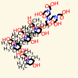 CC(C)(O)CON1C(C)(C)CC(O)CC1(C)C.CC(C)(O)CON1C(C)(C)CC(O)CC1(C)C.CC(C)(O)CON1C(C)(C)CC(O)CC1(C)C.CC(C)(O)CON1C(C)(C)CC(O)CC1(C)C.O=C(O)CN(CCN(CC(=O)O)CC(=O)O)CCN(CC(=O)O)CC(=O)O